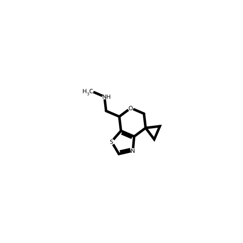 CNCC1OCC2(CC2)c2ncsc21